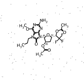 CCCn1c(=O)n([C@@H]2O[C@H](C(OC(C)=O)C(F)(F)F)C[C@H]2OC(C)=O)c2nc(N)nc(OC)c21